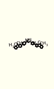 CC1(C)c2ccccc2-c2ccc(-c3ccc(-c4cc(-c5ccc(-c6ccc7c(c6)C(C)(C)c6ccccc6-7)cc5)ncn4)cc3)cc21